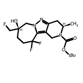 C[C@@H]1Cc2nn3c(c2CN1C(=O)OC(C)(C)C)C(F)(F)CC[C@](O)(CF)C3